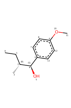 CC[C@@H](C)[C@H](O)c1ccc(OC)cc1